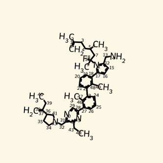 C=C(C)CCC(C)CC(C)(F)n1c(CN)ccc1-c1cccc(-c2cccc(-c3cnc(CN4CCC(C(=C)CC)C4)c(CC)n3)c2C)c1C